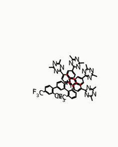 Cc1nc(C)nc(-c2ccc3c(c2)c2cc(-c4nc(C)nc(C)n4)ccc2n3-c2ccc(-c3ccc(C(F)(F)F)cc3C(F)(F)F)cc2-c2c(C#N)cccc2-n2c3ccc(-c4nc(C)nc(C)n4)cc3c3cc(-c4nc(C)nc(C)n4)ccc32)n1